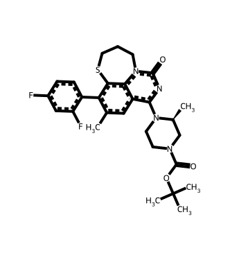 Cc1cc2c(N3CCN(C(=O)OC(C)(C)C)C[C@@H]3C)nc(=O)n3c2c(c1-c1ccc(F)cc1F)SCCC3